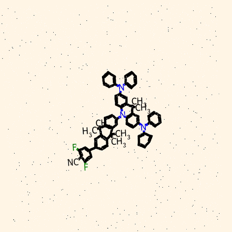 CC1(C)c2cc(N(c3ccccc3)c3ccccc3)ccc2N(c2ccc3c(c2)C(C)(C)c2ccc(-c4cc(F)c(C#N)c(F)c4)cc2C3(C)C)c2ccc(N(c3ccccc3)c3ccccc3)cc21